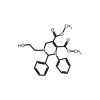 COC(=O)C1=C(C(=O)OC)N(c2ccccc2)C(c2ccccc2)N(CCO)C1